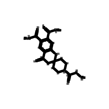 COC(=O)c1cc2c(cc1C(=O)OC)C(=O)CC1(CCN(C(=O)OC(C)(C)C)CC1)O2